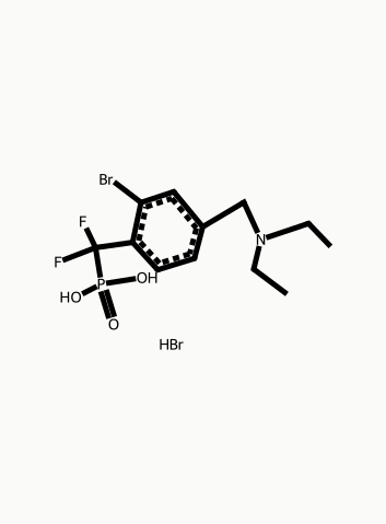 Br.CCN(CC)Cc1ccc(C(F)(F)P(=O)(O)O)c(Br)c1